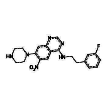 O=[N+]([O-])c1cc2c(NCCc3cccc(F)c3)ncnc2cc1N1CCNCC1